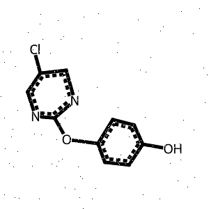 Oc1ccc(Oc2ncc(Cl)cn2)cc1